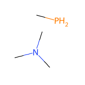 CN(C)C.CP